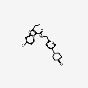 CCc1nc2cc(Cl)ccn2c1C(=O)NCc1ccc(N2CCC(=O)CC2)cc1